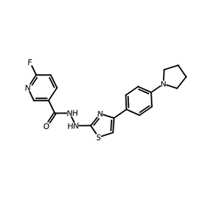 O=C(NNc1nc(-c2ccc(N3CCCC3)cc2)cs1)c1ccc(F)nc1